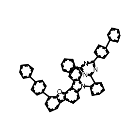 c1ccc(-c2ccc(-c3nc(-c4ccccc4)nc(-c4ccccc4-n4c5ccccc5c5c6oc7c(-c8ccc(-c9ccccc9)cc8)cccc7c6ccc54)n3)cc2)cc1